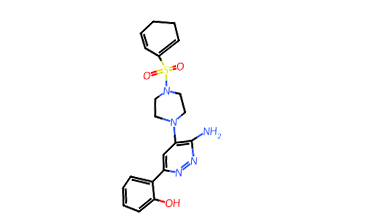 Nc1nnc(-c2ccccc2O)cc1N1CCN(S(=O)(=O)C2=CCCC=C2)CC1